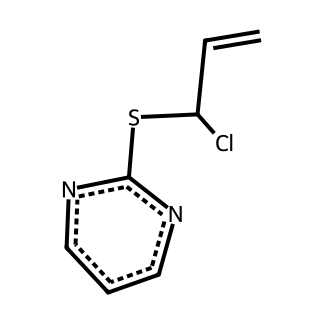 C=CC(Cl)Sc1ncccn1